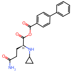 NC(=O)CC[C@H](NC1CC1)C(=O)OC(=O)c1ccc(-c2ccccc2)cc1